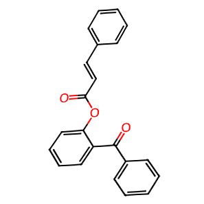 O=C(C=Cc1ccccc1)Oc1ccccc1C(=O)c1ccccc1